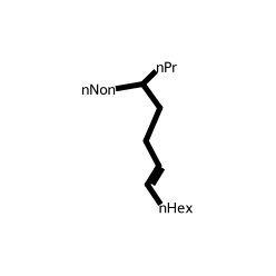 [CH2]CCCCCC=CCCC(CCC)CCCCCCCC[CH2]